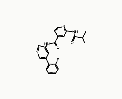 CC(C)C(=O)Nc1cc(C(=O)Nc2cncc(-c3ccccc3F)c2)ccn1